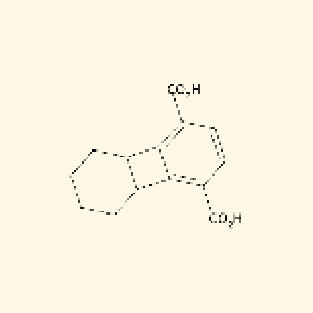 O=C(O)c1ccc(C(=O)O)c2c1C1CCCCC21